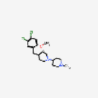 CO[C@@H]1CN(C2CCN(C)CC2)CCC1Cc1ccc(Cl)c(Cl)c1